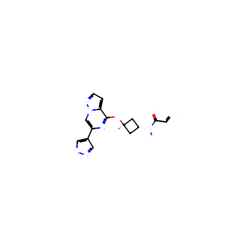 C=CC(=O)N(C)[C@H]1C[C@@](C)(Oc2nc(-c3cn[nH]c3)cn3nccc23)C1